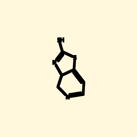 SC1=NC2CN=CC=C2S1